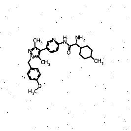 COc1ccc(Cn2nc(C)c(-c3ccc(NC(=O)[C@@H](N)C4CCC(C)CC4)nc3)c2C)cc1